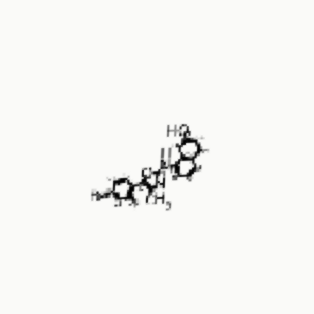 Cc1nc(Nc2cccc3c2CC(O)CC3)oc1-c1ccc(Br)cc1F